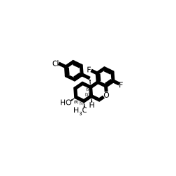 C[C@@H]1[C@H](O)CC[C@@]2(Cc3ccc(Cl)cc3)c3c(F)ccc(F)c3OC[C@@H]12